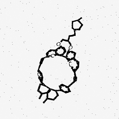 CC1CCC(CCC2COc3ccc4ccc5cc4c3-c3c(ccc4ccc(cc34)C#Cc3ccc(cc3)C3CCC(C)C4=C3C(CCC4C)c3ccc(cc3)C#C5)OC2)CC1